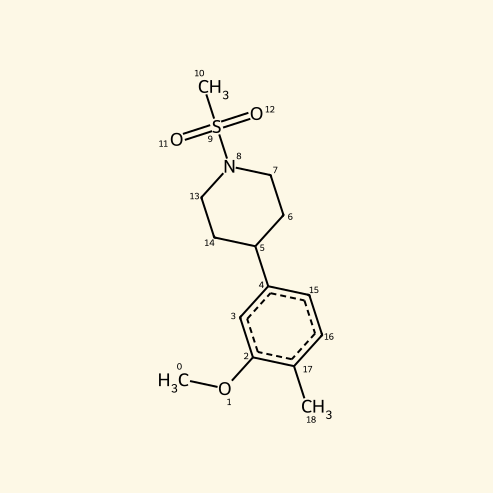 COc1cc(C2CCN(S(C)(=O)=O)CC2)ccc1C